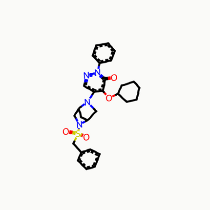 O=c1c(OC2CCCCC2)c(N2CC3CC2CN3S(=O)(=O)Cc2ccccc2)cnn1-c1ccccc1